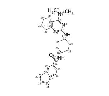 CN(C)c1nc(N[C@H]2CC[C@@H](NC(=O)c3ccc4ncsc4c3)CC2)nc2c1CCCC2